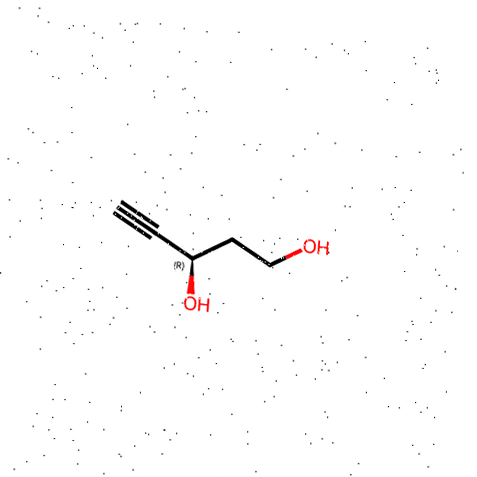 C#C[C@H](O)CCO